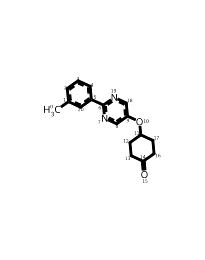 Cc1cccc(-c2ncc(OC3CCC(=O)CC3)cn2)c1